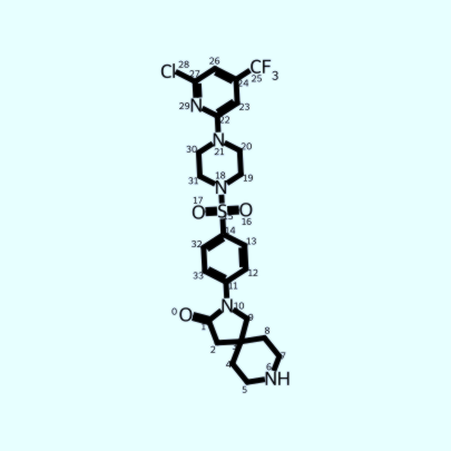 O=C1CC2(CCNCC2)CN1c1ccc(S(=O)(=O)N2CCN(c3cc(C(F)(F)F)cc(Cl)n3)CC2)cc1